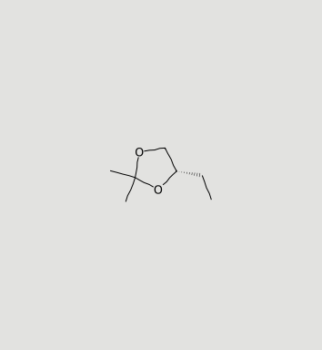 CC[C@H]1COC(C)(C)O1